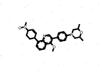 COc1c(-c2ccc(N3CC(C)OC(C)C3)cc2)cnc2c(C3C=CC([S+](C)[O-])CC3)cccc12